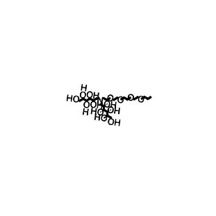 CCCOCCOCCOCCOCCN(C[C@H](O)[C@@H](O)[C@H](O)[C@H](O)CO)C[C@H](O)[C@@H](O)[C@H](O)[C@H](O)CO